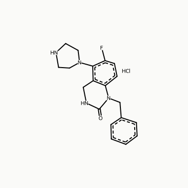 Cl.O=C1NCc2c(ccc(F)c2N2CCNCC2)N1Cc1ccccc1